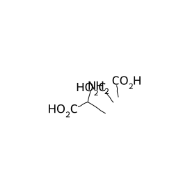 CC(=O)O.CC(=O)O.CC(N)C(=O)O